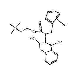 [CH2]c1ccccc1CC(C(=O)OCC[Si](C)(C)C)C1C(O)Cc2ccccc2N1O